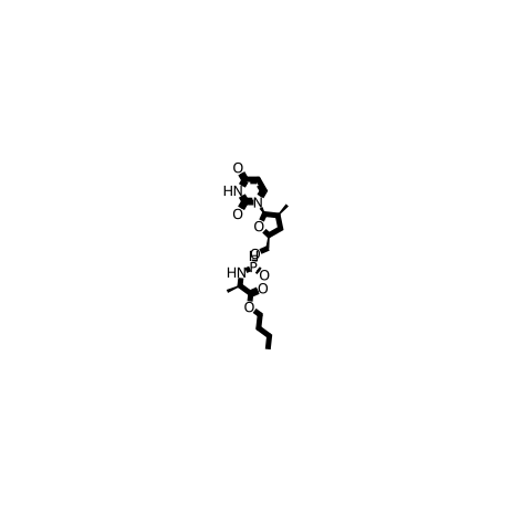 CCCCOC(=O)[C@@H](C)N[PH](=O)OC[C@@H]1C[C@H](C)[C@H](n2ccc(=O)[nH]c2=O)O1